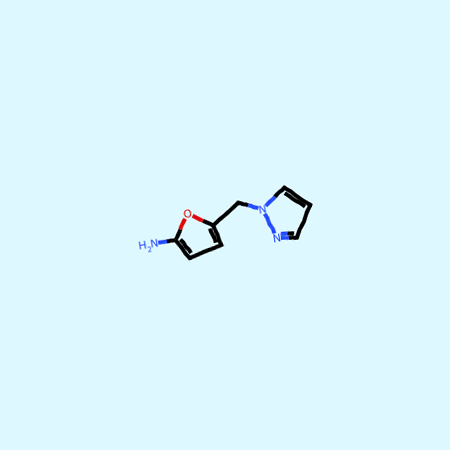 Nc1ccc(Cn2cccn2)o1